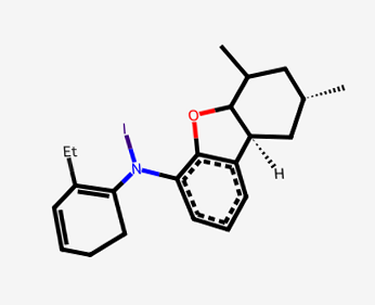 CCC1=C(N(I)c2cccc3c2OC2C(C)C[C@H](C)C[C@@H]32)CCC=C1